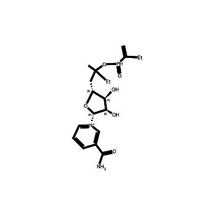 C=C(CC)[PH](=O)OC(C)(CC)C[C@H]1O[C@@H]([n+]2cccc(C(N)=O)c2)[C@H](O)[C@@H]1O